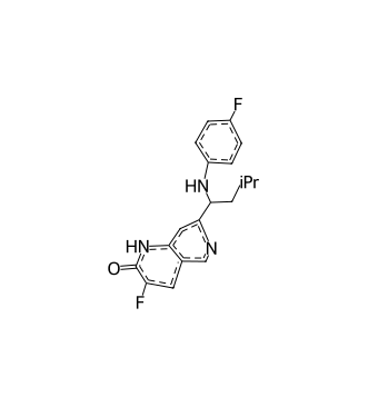 CC(C)CC(Nc1ccc(F)cc1)c1cc2[nH]c(=O)c(F)cc2cn1